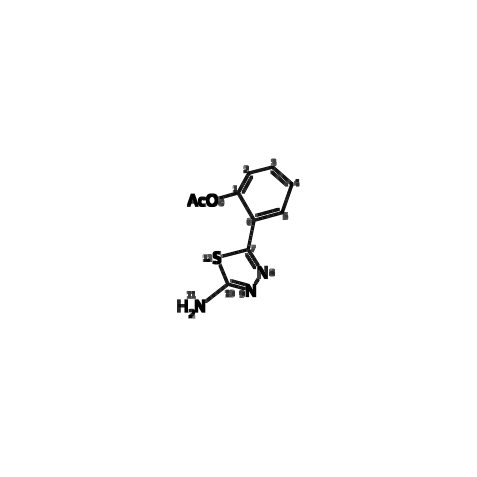 CC(=O)Oc1ccccc1-c1nnc(N)s1